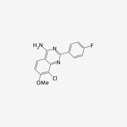 COc1ccc2c(N)nc(-c3ccc(F)cc3)nc2c1Cl